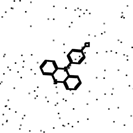 Clc1ccc([S+]2c3ccccc3Sc3ccccc32)cc1